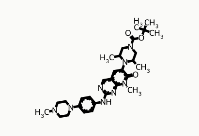 CC1CN(C(=O)OC(C)(C)C)CC(C)N1c1cc2cnc(Nc3ccc(N4CCN(C)CC4)cc3)nc2n(C)c1=O